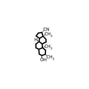 C[C@H]1C[C@@]2(C)C(CC[C@@H]3C2CC[C@@]2(C)C3CC[C@@H]2C#N)C[C@@H]1O